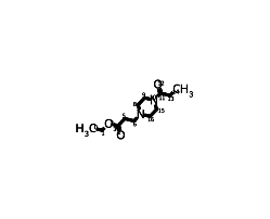 CCOC(=O)CCN1CCN(C(=O)CC)CC1